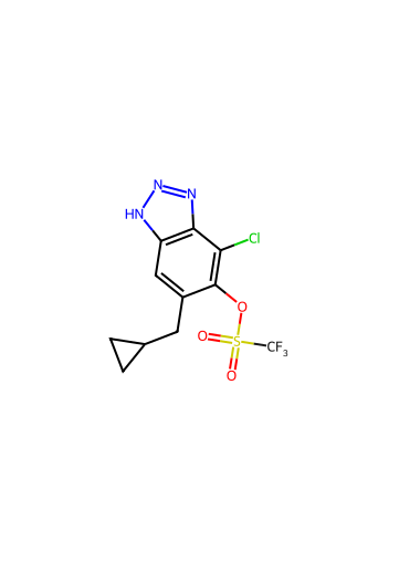 O=S(=O)(Oc1c(CC2CC2)cc2[nH]nnc2c1Cl)C(F)(F)F